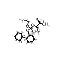 C=C(C)C(=O)OC(C)(OCC)Oc1ccccc1-c1ccccc1